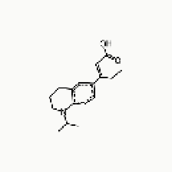 CCC(=CC(=O)O)c1ccc2c(c1)CCCN2C(C)C